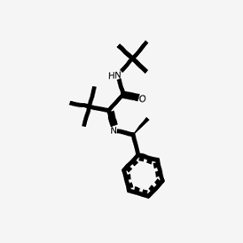 C[C@H](/N=C(\C(=O)NC(C)(C)C)C(C)(C)C)c1ccccc1